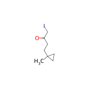 CC1(CCC(=O)CI)CC1